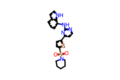 O=S(=O)(c1ccc(-c2ccnc(Nc3cccc4cc[nH]c34)n2)s1)N1CCCCC1